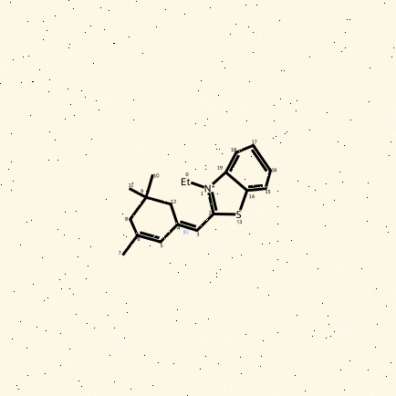 CC[n+]1c(/C=C2/C=C(C)CC(C)(C)C2)sc2ccccc21